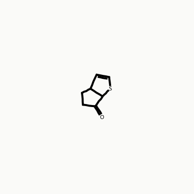 O=C1CCC2C=CSC12